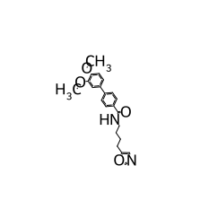 COc1ccc(-c2ccc(C(=O)NCCCCc3cnco3)cc2)cc1OC